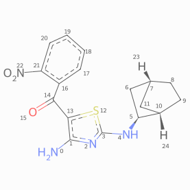 Nc1nc(N[C@H]2C[C@@H]3CC[C@H]2C3)sc1C(=O)c1ccccc1[N+](=O)[O-]